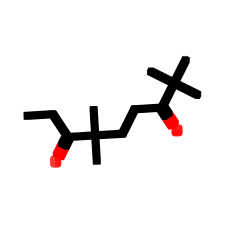 CCC(=O)C(C)(C)CCC(=O)C(C)(C)C